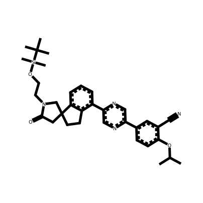 CC(C)Oc1ccc(-c2cnc(-c3cccc4c3CCC43CC(=O)N(CCO[Si](C)(C)C(C)(C)C)C3)cn2)cc1C#N